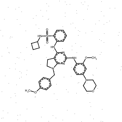 COc1ccc(CN2CCc3c(Nc4ccccc4S(=O)(=O)NC4CCC4)nc(Nc4ccc(N5CCOCC5)cc4OC)nc32)cc1